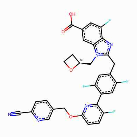 N#Cc1ccc(COc2ccc(F)c(-c3cc(F)c(Cc4nc5c(F)cc(C(=O)O)cc5n4C[C@@H]4CCO4)cc3F)n2)cn1